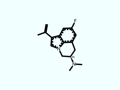 C=C(C)c1cn2c3c(cc(F)cc13)C[C@@H](N(C)C)C2